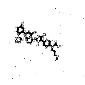 COCCCN(C(=O)O)c1ccc(-c2[nH]c([C@@H]3CCc4nc(-c5cc(Cl)ccc5-n5cnnn5)cc(=O)n43)nc2Cl)nc1